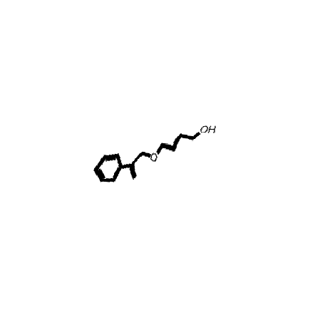 C=C(COCCCCO)c1ccccc1